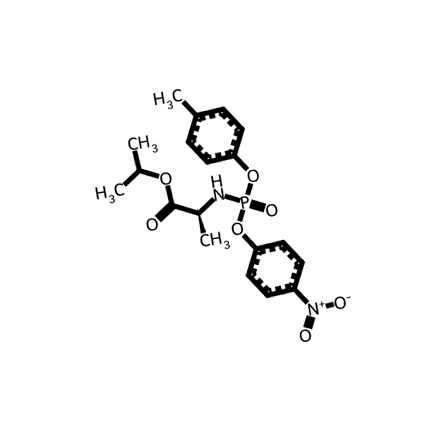 Cc1ccc(OP(=O)(N[C@@H](C)C(=O)OC(C)C)Oc2ccc([N+](=O)[O-])cc2)cc1